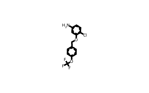 Nc1ccc(Cl)c(OCc2ccc(OC(F)(F)F)cc2)c1